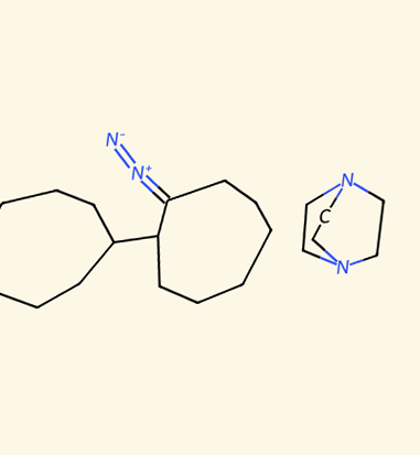 C1CN2CCN1CC2.[N-]=[N+]=C1CCCCCCC1C1CCCCCCC1